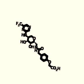 O=C(O)COc1ccc(CC(=O)NC[C@H]2OC[C@H](Nc3cncc(C(F)(F)F)n3)[C@@H](O)[C@H]2O)cc1